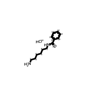 Cl.NCCCCCCNC(=O)c1ccccc1